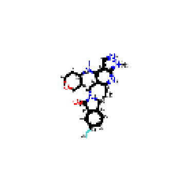 CCc1nc2c(cnn2CC)c(NC2CCOCC2)c1CN1Cc2ccc(F)cc2C1=O